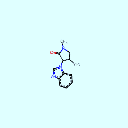 CCCC1CN(C)C(=O)C1n1cnc2ccccc21